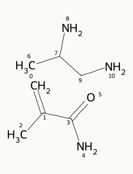 C=C(C)C(N)=O.CC(N)CN